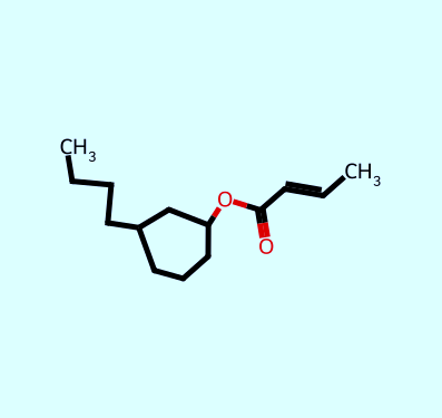 CC=CC(=O)OC1CCCC(CCCC)C1